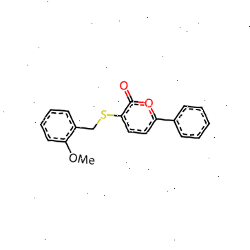 COc1ccccc1CSc1ccc(-c2ccccc2)oc1=O